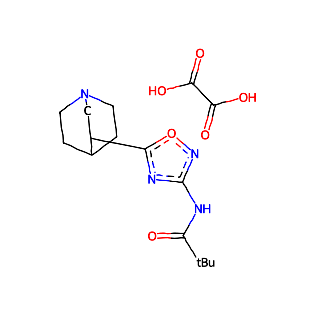 CC(C)(C)C(=O)Nc1noc(C2CN3CCC2CC3)n1.O=C(O)C(=O)O